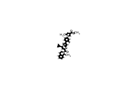 COC(=O)C1CC(C)N(c2ccc(-c3cc4nc(C(=O)N5CCc6ccccc6[C@H]5C)cc(C5CC5)n4n3)c(F)c2)C1